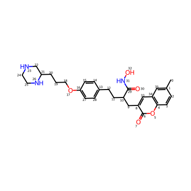 Cc1ccc2oc(=O)c(CC(CCc3ccc(OCCCC4CNCCN4)cc3)C(=O)NO)cc2c1